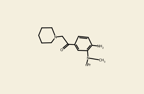 CCCN(C)c1cc(C(=O)CN2CCCCC2)ccc1N